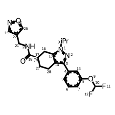 CC(C)n1nc(-c2cccc(OC(F)F)c2)c2c1C[C@H](C(=O)NCc1cnoc1)CC2